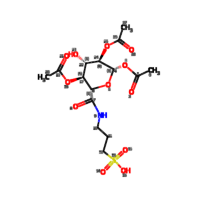 CC(=O)O[C@@H]1O[C@H](C(=O)NCCCS(=O)(=O)O)[C@@H](OC(C)=O)[C@H](O)[C@H]1OC(C)=O